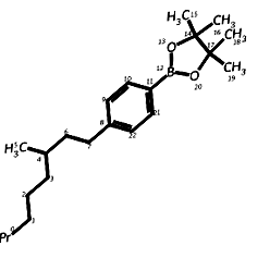 CC(C)CCCC(C)CCc1ccc(B2OC(C)(C)C(C)(C)O2)cc1